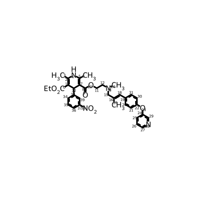 CCOC(=O)C1=C(C)NC(C)=C(C(=O)OCCN(C)CC(C)=Cc2ccc(Oc3cccnc3)cc2)C1c1cccc([N+](=O)[O-])c1